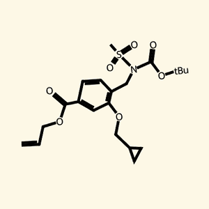 C=CCOC(=O)c1ccc(CN(C(=O)OC(C)(C)C)S(C)(=O)=O)c(OCC2CC2)c1